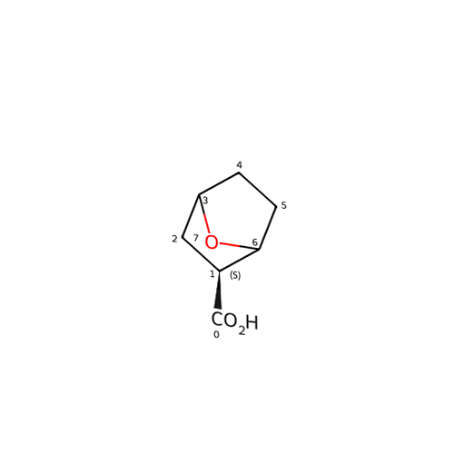 O=C(O)[C@H]1CC2CCC1O2